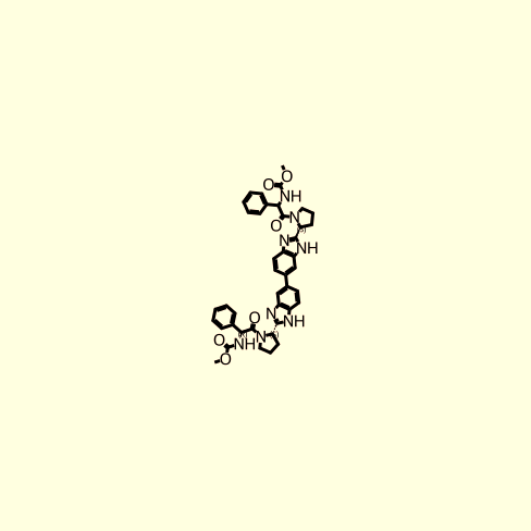 COC(=O)NC(C(=O)N1CCC[C@H]1c1nc2ccc(-c3ccc4[nH]c([C@@H]5CCCN5C(=O)[C@H](NC(=O)OC)c5ccccc5)nc4c3)cc2[nH]1)c1ccccc1